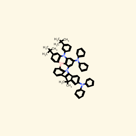 CC(C)(C)c1cccc(N2c3cc(C(C)(C)C)ccc3B3c4c2cc(N(c2ccccc2)c2ccccc2)cc4-n2c4c(c5cccc3c52)C(C)(C)c2cc(N(c3ccccc3)c3ccccc3)ccc2-4)c1